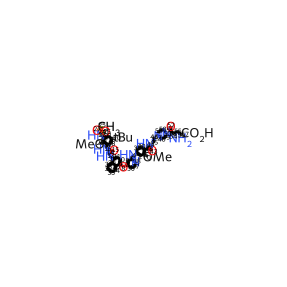 COc1cc(Nc2cc(Oc3ccc(NC(=O)Nc4cc(C(C)(C)C)cc(NS(C)(=O)=O)c4OC)c4ccccc34)ccn2)ccc1C(=O)NCCN1CCN(C(=O)[C@@H](N)CCC(=O)O)CC1